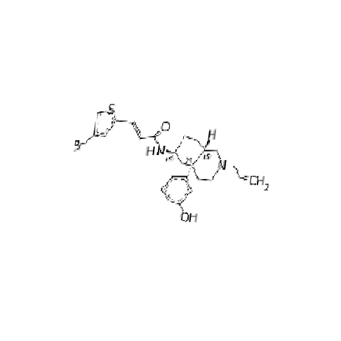 C=CCN1CC[C@@]2(c3cccc(O)c3)C[C@@H](NC(=O)C=Cc3cc(Br)cs3)CC[C@@H]2C1